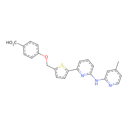 Cc1ccnc(Nc2cccc(-c3ccc(COc4ccc(C(=O)O)cc4)s3)n2)c1